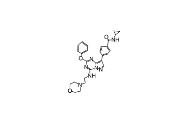 O=C(NC1CC1)c1ccc(-c2cnn3c(NCCN4CCOCC4)nc(Oc4ccccc4)nc23)cc1